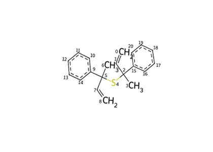 C=CC(C)(SC(C)(C=C)c1ccccc1)c1ccccc1